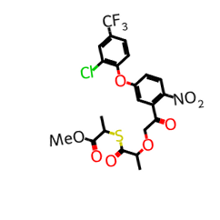 COC(=O)C(C)SC(=O)C(C)OCC(=O)c1cc(Oc2ccc(C(F)(F)F)cc2Cl)ccc1[N+](=O)[O-]